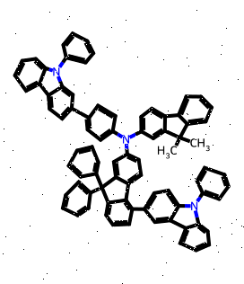 CC1(C)c2ccccc2-c2ccc(N(c3ccc(-c4ccc5c6ccccc6n(-c6ccccc6)c5c4)cc3)c3ccc4c(c3)C(c3ccccc3)(c3ccccc3)c3cccc(-c5ccc6c(c5)c5ccccc5n6-c5ccccc5)c3-4)cc21